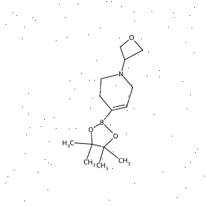 CC1(C)OB(C2=CCN(C3COC3)CC2)OC1(C)C